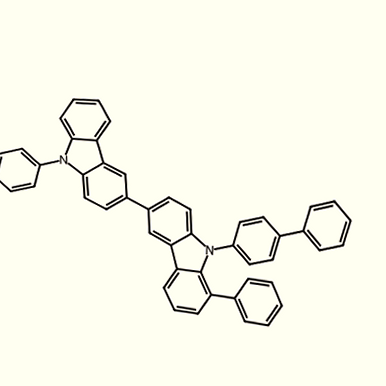 c1ccc(-c2ccc(-n3c4ccc(-c5ccc6c(c5)c5ccccc5n6-c5ccccc5)cc4c4cccc(-c5ccccc5)c43)cc2)cc1